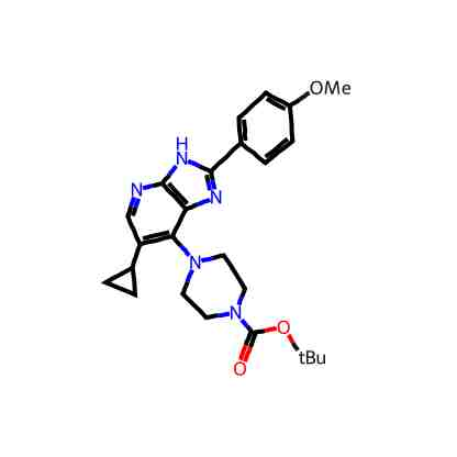 COc1ccc(-c2nc3c(N4CCN(C(=O)OC(C)(C)C)CC4)c(C4CC4)cnc3[nH]2)cc1